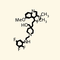 COc1ccc2ncc(N(C)C)c([C@@H](F)CCC3(CO)CCN(CCNc4cc(F)cc(F)c4F)CC3)c2c1